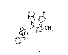 Cc1cnc2n1-c1ccc(Br)cc1C(c1ccccn1)=N[C@H]2CCC(=O)OS(=O)(=O)c1ccccc1